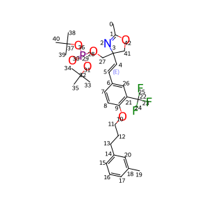 CC1=NC(/C=C/c2ccc(OCCCc3cccc(C)c3)c(C(F)(F)F)c2)(COP(=O)(OC(C)(C)C)OC(C)(C)C)CO1